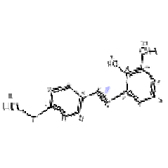 OCc1ccc(/C=C/c2cccc(O)c2O)cc1